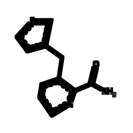 NC(=O)c1ncccc1Cc1ccsc1